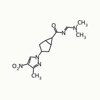 Cc1nn(C2CC3C(C2)C3C(=O)N=CN(C)C)cc1[N+](=O)[O-]